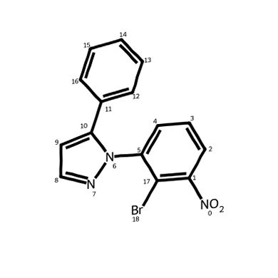 O=[N+]([O-])c1cccc(-n2nccc2-c2ccccc2)c1Br